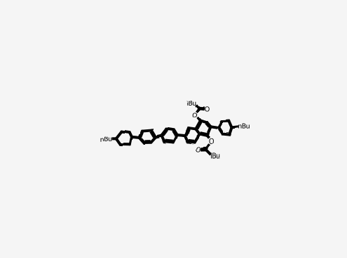 CCCCC1CCC(c2ccc(-c3ccc(-c4ccc5c(OC(=O)C(C)CC)c(C6CCC(CCCC)CC6)cc(OC(=O)C(C)CC)c5c4)cc3)cc2)CC1